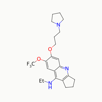 CCNc1c2c(nc3cc(OCCCN4CCCC4)c(OC(F)(F)F)cc13)CCC2